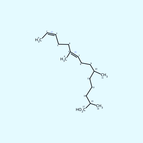 C/C=C\CC/C(C)=C/CCC(C)CCCC(C)C(=O)O